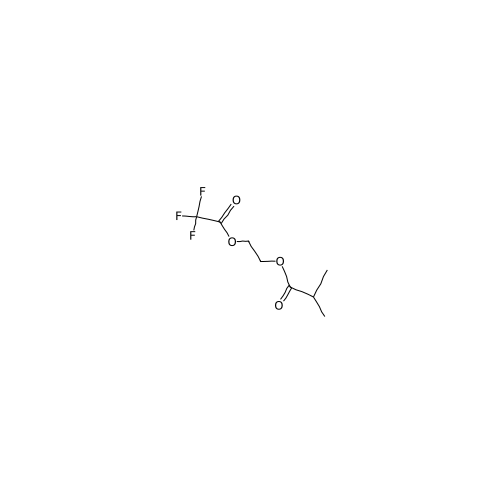 CC(C)C(=O)OCCOC(=O)C(F)(F)F